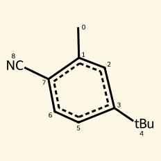 Cc1cc(C(C)(C)C)ccc1C#N